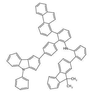 CC1(C)c2ccccc2-c2ccc(-c3ccccc3Nc3cccc(-c4cccc5c4ccc4ccccc45)c3-c3ccc(-c4ccc5c(c4)c4ccccc4n5-c4ccccc4)cc3)cc21